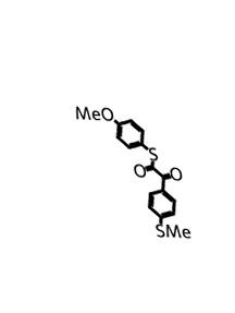 COc1ccc(SC(=O)C(=O)c2ccc(SC)cc2)cc1